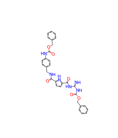 N=C(NC(=O)OCc1ccccc1)NC(=O)c1ccc(C(=O)NCc2ccc(NC(=O)OCc3ccccc3)cc2)[nH]1